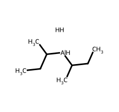 CC[CH](C)[AlH][CH](C)CC.[HH]